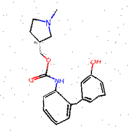 CN1CC[C@@H](COC(=O)Nc2ccccc2-c2cccc(O)c2)C1